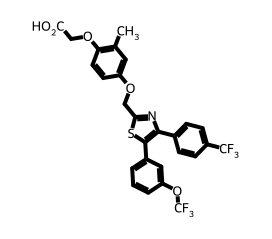 Cc1cc(OCc2nc(-c3ccc(C(F)(F)F)cc3)c(-c3cccc(OC(F)(F)F)c3)s2)ccc1OCC(=O)O